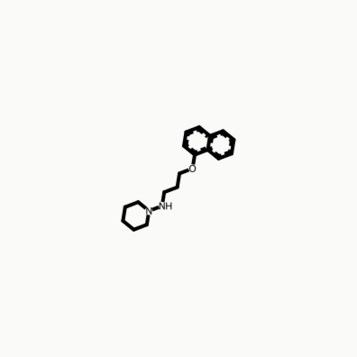 c1ccc2c(OCCCNN3CCCCC3)cccc2c1